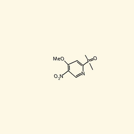 COc1cc(P(C)(C)=O)ncc1[N+](=O)[O-]